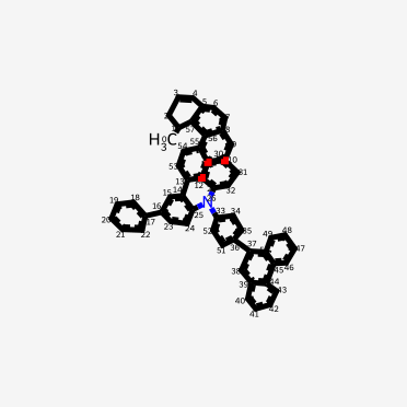 CC1CC=Cc2ccc3ccc4cc(-c5cc(-c6ccccc6)ccc5N(c5ccccc5)c5ccc(-c6cc7ccccc7c7ccccc67)cc5)ccc4c3c21